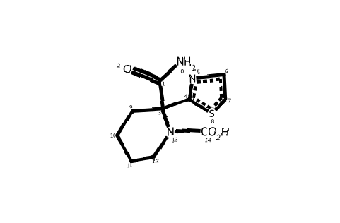 NC(=O)C1(c2nccs2)CCCCN1C(=O)O